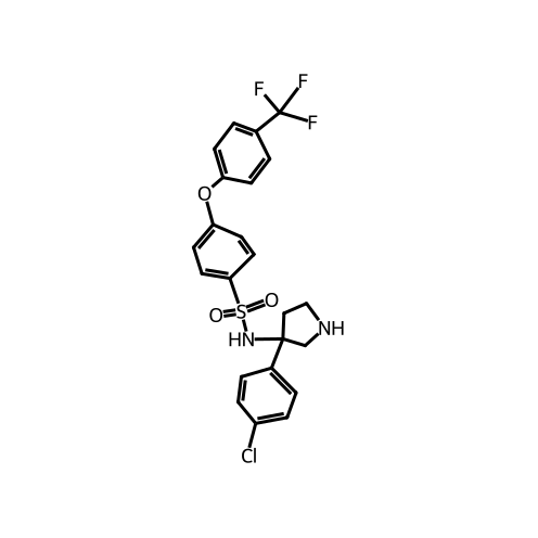 O=S(=O)(NC1(c2ccc(Cl)cc2)CCNC1)c1ccc(Oc2ccc(C(F)(F)F)cc2)cc1